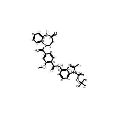 COc1cc(C(=O)N2CCC(=O)Nc3ccccc32)ccc1C(=O)Nc1cccc2c1nc(C)n2C(=O)OC(C)(C)C